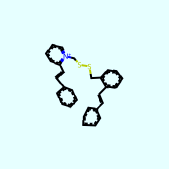 C(=C\c1ccccc1CSSC[n+]1ccccc1/C=C/c1ccccc1)/c1ccccc1